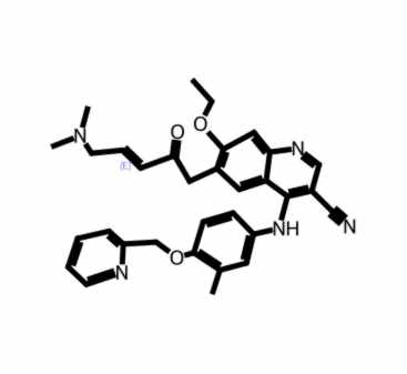 CCOc1cc2ncc(C#N)c(Nc3ccc(OCc4ccccn4)c(C)c3)c2cc1CC(=O)/C=C/CN(C)C